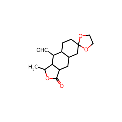 CC1OC(=O)C2CC3CC4(CCC3C(C=O)C12)OCCO4